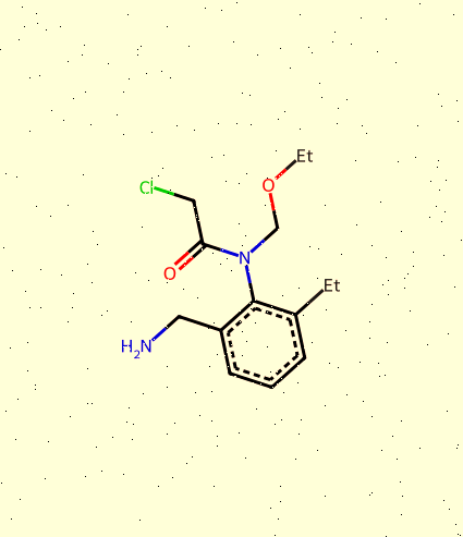 CCOCN(C(=O)CCl)c1c(CC)cccc1CN